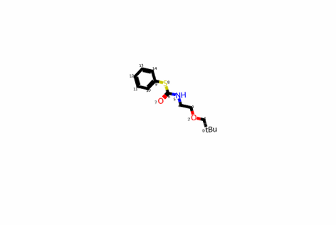 CC(C)(C)COCCNC(=O)Sc1ccccc1